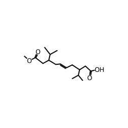 COC(=O)CC(C/C=C/CC(CC(=O)O)C(C)C)C(C)C